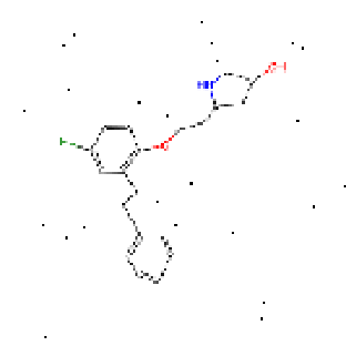 OC1CNC(CCOc2ccc(F)cc2CCc2ccccc2)C1